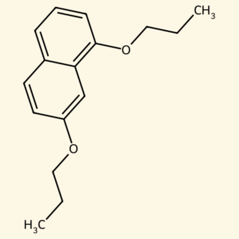 CCCOc1ccc2cccc(OCCC)c2c1